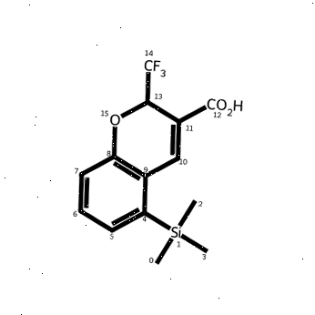 C[Si](C)(C)c1cccc2c1C=C(C(=O)O)C(C(F)(F)F)O2